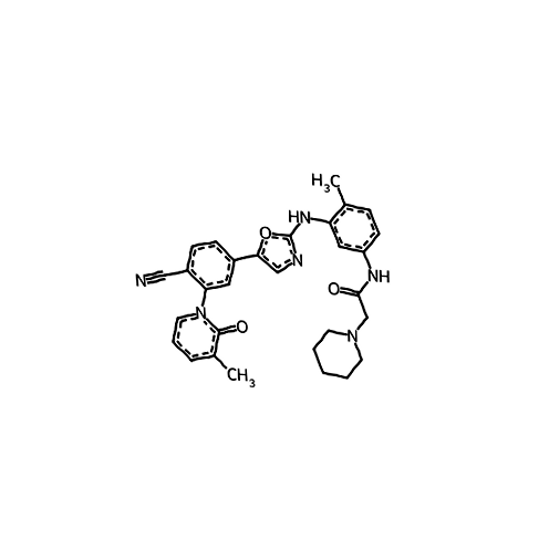 Cc1ccc(NC(=O)CN2CCCCC2)cc1Nc1ncc(-c2ccc(C#N)c(-n3cccc(C)c3=O)c2)o1